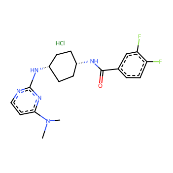 CN(C)c1ccnc(N[C@H]2CC[C@@H](NC(=O)c3ccc(F)c(F)c3)CC2)n1.Cl